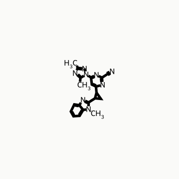 Cc1nc(C)n(-c2cc(C3CC3c3nc4ccccc4n3C)nc(C#N)n2)n1